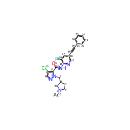 CC(=O)N1CCC(Cn2ncc(Cl)c2C(=O)Nc2ncc(C#Cc3ccccc3)cc2F)C1